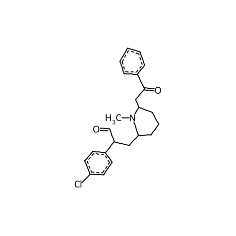 CN1C(CC(=O)c2ccccc2)CCCC1CC(C=O)c1ccc(Cl)cc1